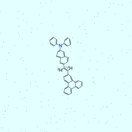 [2H]/C(=C(/[2H])c1ccc2c3ccccc3c3ccccc3c2c1)c1ccc2cc(N(c3ccccc3)c3ccccc3)ccc2c1